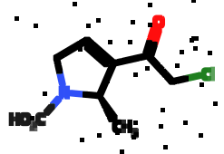 C[C@@H]1C(C(=O)CCl)=CCN1C(=O)O